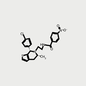 C[C@@H]1Cc2ccsc2[C@H](c2ccc(Cl)cc2)N1CCNC(=O)c1ccc([N+](=O)[O-])cc1